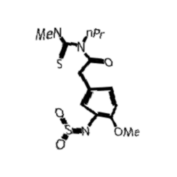 CCCN(C(=O)Cc1ccc(OC)c(N=S(=O)=O)c1)C(=S)NC